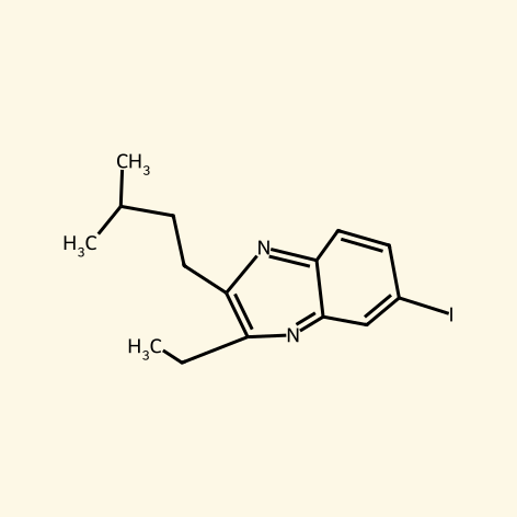 CCc1nc2cc(I)ccc2nc1CCC(C)C